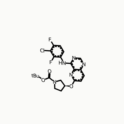 CC(C)(C)OC(=O)N1CC[C@H](Oc2ccc3ncnc(Nc4ccc(F)c(Cl)c4F)c3n2)C1